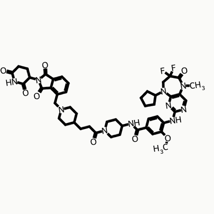 COc1cc(C(=O)NC2CCN(C(=O)CCC3CCN(Cc4cccc5c4C(=O)N(C4CCC(=O)NC4=O)C5=O)CC3)CC2)ccc1Nc1ncc2c(n1)N(C1CCCC1)CC(F)(F)C(=O)N2C